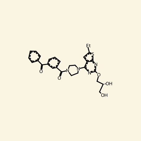 CCc1cc2c(N3CCN(C(=O)c4cccc(C(=O)c5ccccc5)c4)CC3)nc(OC[C@H](O)CO)nc2s1